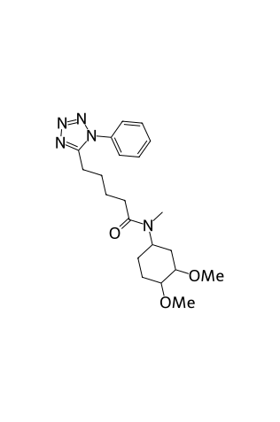 COC1CCC(N(C)C(=O)CCCCc2nnnn2-c2ccccc2)CC1OC